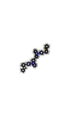 c1ccc2c(c1)Cc1c(-c3ccc(-n4c5ccccc5c5cc(-c6ccc7c(c6)c6ccccc6n7-c6ccc(-c7cccc8c7sc7ccccc78)cc6)ccc54)cc3)cccc1-2